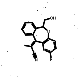 CC(C#N)=C1c2cc(F)ccc2OC(CO)c2ccccc21